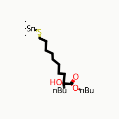 CCCCOC(=O)C(O)(CCCC)CCCCCCCC[S][Sn]